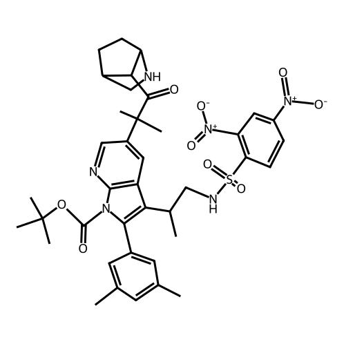 Cc1cc(C)cc(-c2c(C(C)CNS(=O)(=O)c3ccc([N+](=O)[O-])cc3[N+](=O)[O-])c3cc(C(C)(C)C(=O)C4C5CCC4NC5)cnc3n2C(=O)OC(C)(C)C)c1